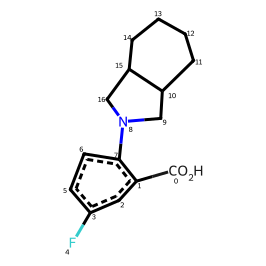 O=C(O)c1cc(F)ccc1N1CC2CCCCC2C1